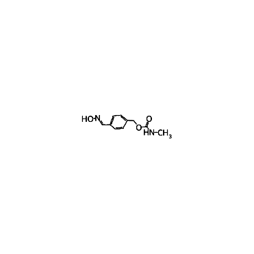 CNC(=O)OCc1ccc(/C=N/O)cc1